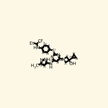 CCC(Nc1ccc(Sc2nc(Nc3cc(C)n[nH]3)cc(N3CC(O)(C4CC4)C3)n2)cc1)C(F)(F)F